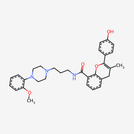 COc1ccccc1N1CCN(CCCNC(=O)c2cccc3c2OC(c2ccc(O)cc2)=C(C)C3)CC1